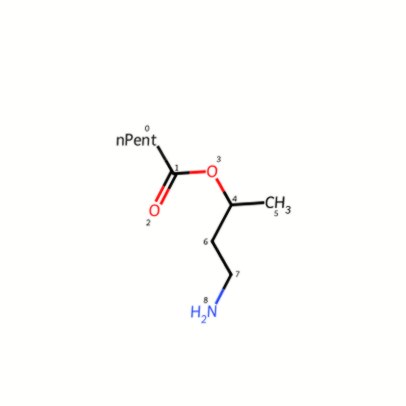 CCCCCC(=O)OC(C)CCN